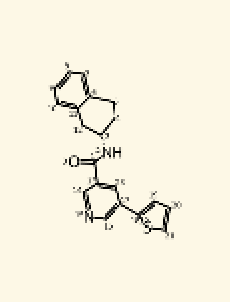 O=C(N[C@H]1CCc2ccccc2C1)c1cncc(-c2cccs2)c1